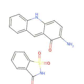 Nc1ccc2[nH]c3ccccc3cc-2c1=O.O=C1NS(=O)(=O)c2ccccc21